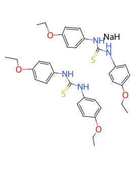 CCOc1ccc(NC(=S)Nc2ccc(OCC)cc2)cc1.CCOc1ccc(NC(=S)Nc2ccc(OCC)cc2)cc1.[NaH]